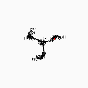 C[C@H](CCC(=O)O)[C@H]1CC[C@H]2[C@@H]3[C@H](O)C[C@@H]4C[C@@H](OCCCCCCNC(=O)C5(C)CC(C)(C(=O)NCCCCCCO[C@H]6CC[C@@]7(C)[C@H](CC[C@@H]8[C@@H]7C[C@H](O)[C@]7(C)[C@@H]([C@H](C)CCC(=O)O)CC[C@@H]87)C6)CC(C)(C(=O)NCCCCCCO[C@H]6CC[C@]7(C)C8C[C@H](O)[C@]9(C)[C@@H]([C@H](C)CCC(=O)O)CC[C@H]9[C@@H]8[C@H](O)C[C@@H]7C6)C5)CC[C@]4(C)[C@H]3CC[C@]12C